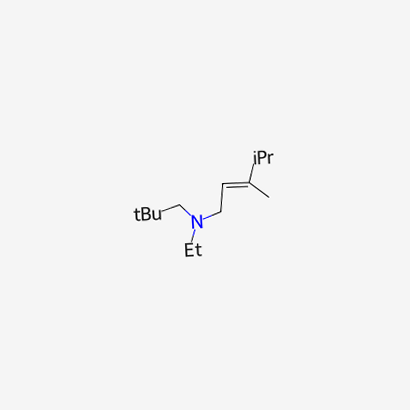 CCN(C/C=C(\C)C(C)C)CC(C)(C)C